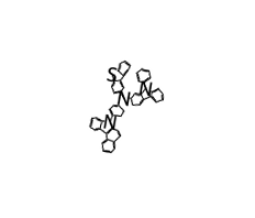 C1=C(N(c2ccc3sc4ccccc4c3c2)C2C=c3c(c4ccccc4n3-c3ccccc3)=CC2)CCC(n2c3ccccc3c3c4ccccc4ccc32)=C1